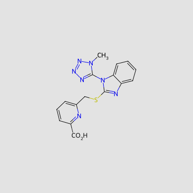 Cn1nnnc1-n1c(SCc2cccc(C(=O)O)n2)nc2ccccc21